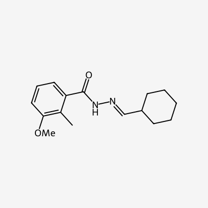 COc1cccc(C(=O)NN=CC2CCCCC2)c1C